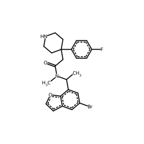 CC(c1cc(Br)cc2ccoc12)N(C)C(=O)CC1(c2ccc(F)cc2)CCNCC1